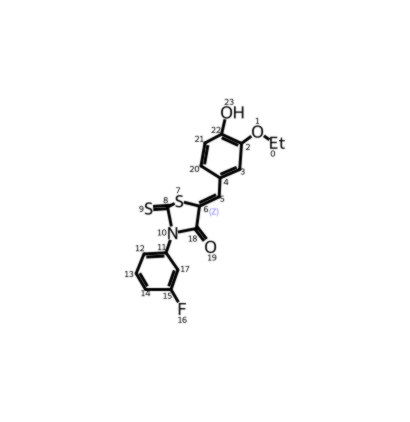 CCOc1cc(/C=C2\SC(=S)N(c3cccc(F)c3)C2=O)ccc1O